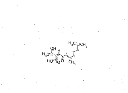 CC(C)=CCCC(C)=CC(=O)NC(C(=O)O)C(C)O